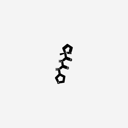 C[N@@+]1(C(=O)NC(=O)NC2CCOC2)C=[C]C=N1